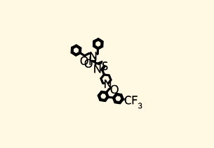 O=C(c1csc(C2CCN(C(=O)c3ccccc3-c3ccc(C(F)(F)F)cc3)CC2)n1)N(Cc1ccccc1)CC(O)c1ccccc1